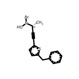 CC(=O)N(O)[C@H](C)C#Cc1ccc(Cc2ccccc2)s1